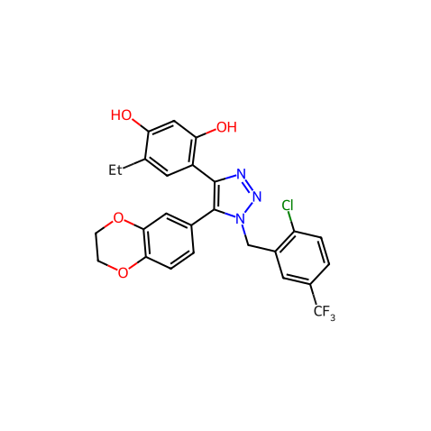 CCc1cc(-c2nnn(Cc3cc(C(F)(F)F)ccc3Cl)c2-c2ccc3c(c2)OCCO3)c(O)cc1O